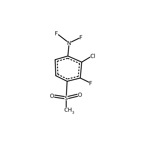 CS(=O)(=O)c1ccc(N(F)F)c(Cl)c1F